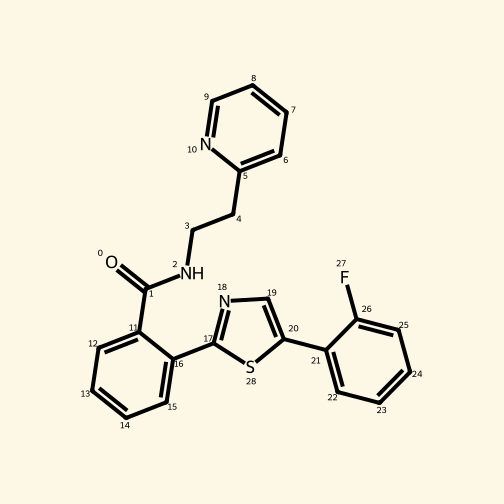 O=C(NCCc1ccccn1)c1ccccc1-c1ncc(-c2ccccc2F)s1